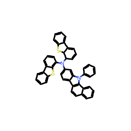 C1=CC(N(c2ccc3c4ccc5ccccc5c4n(-c4ccccc4)c3c2)c2cccc3c2sc2ccccc23)C2Sc3ccccc3C2=C1